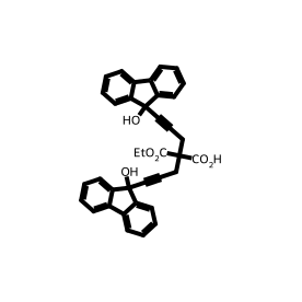 CCOC(=O)C(CC#CC1(O)c2ccccc2-c2ccccc21)(CC#CC1(O)c2ccccc2-c2ccccc21)C(=O)O